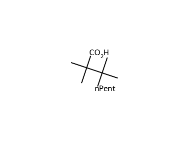 CCCCCC(C)(C)C(C)(C)C(=O)O